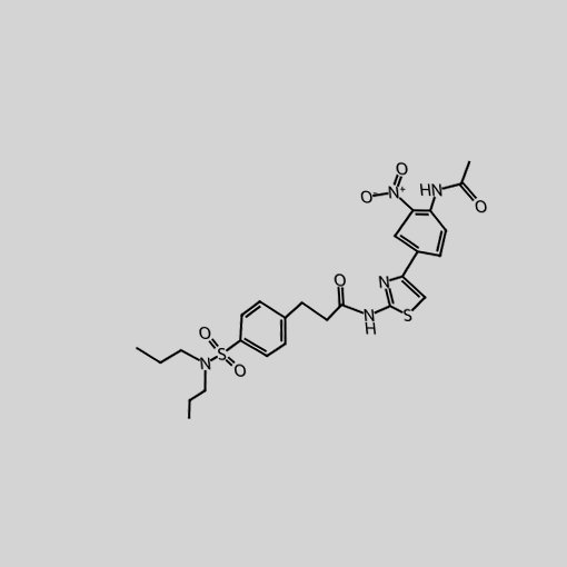 CCCN(CCC)S(=O)(=O)c1ccc(CCC(=O)Nc2nc(-c3ccc(NC(C)=O)c([N+](=O)[O-])c3)cs2)cc1